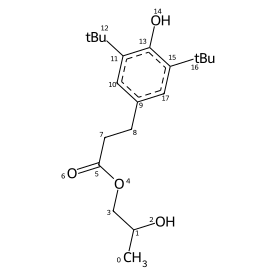 CC(O)COC(=O)CCc1cc(C(C)(C)C)c(O)c(C(C)(C)C)c1